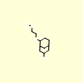 COCCOC1CCC2CC(C)CC1C2